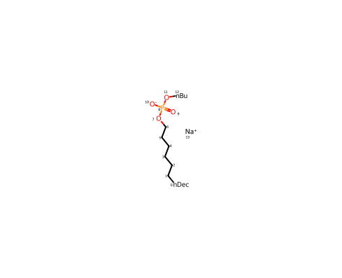 CCCCCCCCCCCCCCCCOP(=O)([O-])OCCCC.[Na+]